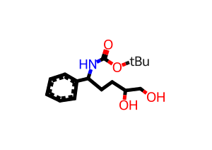 CC(C)(C)OC(=O)NC(CCC(O)CO)c1ccccc1